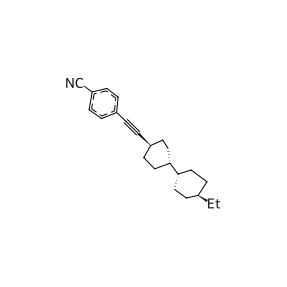 CC[C@H]1CC[C@H]([C@H]2CC[C@H](C#Cc3ccc(C#N)cc3)CC2)CC1